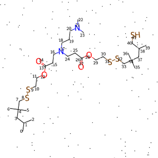 CC(C)CC(C)(C)CSSCCOC(=O)CCN(CCCN(C)C)CCC(=O)OCCSSCC(C)(C)CC(C)CS